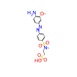 COc1cc(N=Nc2ccc(S(=O)(=O)N(C)CCS(=O)(=O)O)cc2)ccc1N